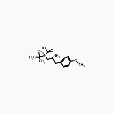 COc1ccc(C[C@H](N)CN(C(=O)O)C(C)(C)C)cc1